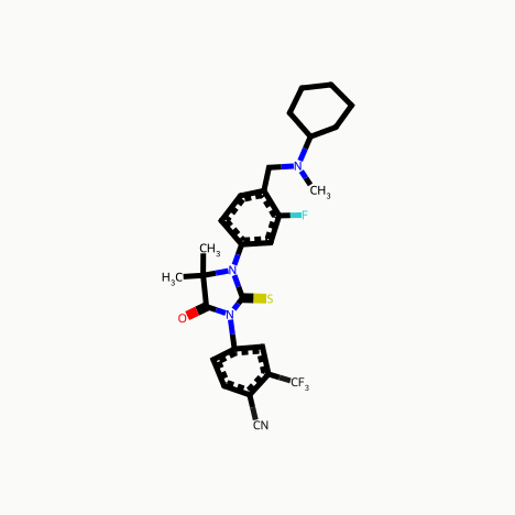 CN(Cc1ccc(N2C(=S)N(c3ccc(C#N)c(C(F)(F)F)c3)C(=O)C2(C)C)cc1F)C1CCCCC1